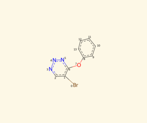 Brc1cnnnc1Oc1ccccc1